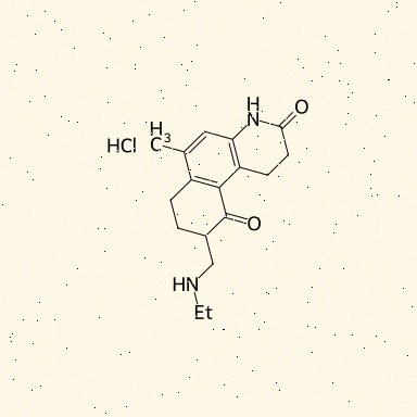 CCNCC1CCc2c(C)cc3c(c2C1=O)CCC(=O)N3.Cl